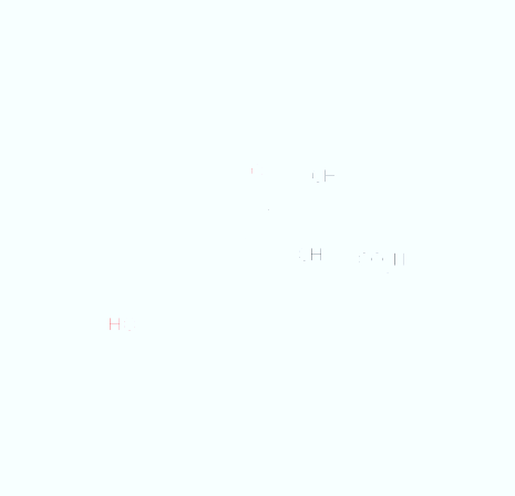 CC(C)(CC(=O)O)C(=O)c1ccc(CO)cc1